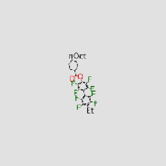 CCCCCCCCC1CCC(C(=O)Oc2c(F)c(F)c(-c3c(F)c(F)c(CC)c(F)c3F)c(F)c2F)CC1